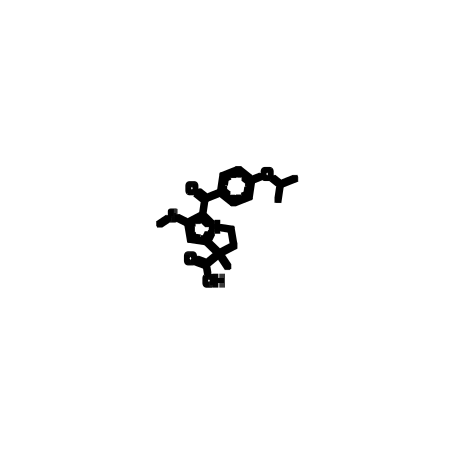 CSc1cc2n(c1C(=O)c1ccc(OC(C)C)cc1)CCC2(C)C(=O)O